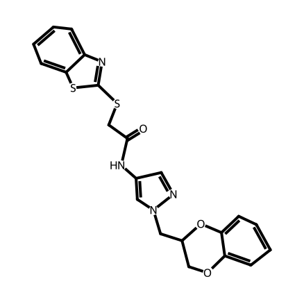 O=C(CSc1nc2ccccc2s1)Nc1cnn(CC2COc3ccccc3O2)c1